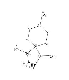 CC(C)C(=O)C1(N(C)C(C)C)CCC(C(C)C)CC1